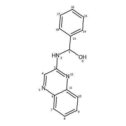 OC(Nc1cnc2ccccc2n1)c1ccccc1